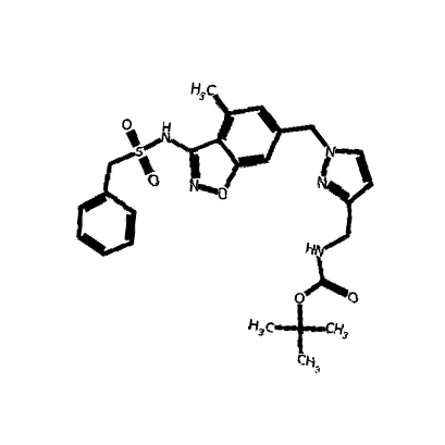 Cc1cc(Cn2ccc(CNC(=O)OC(C)(C)C)n2)cc2onc(NS(=O)(=O)Cc3ccccc3)c12